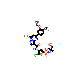 CC(C)(CO)NS(=O)(=O)c1cc(NC(=O)c2cnn3c(C(F)(F)F)cc(-c4ccc(C(F)(F)F)c(OCC(F)(F)F)c4)nc23)c(Cl)s1